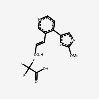 COc1ncc(-c2ccncc2C=CC(=O)O)s1.O=C(O)C(F)(F)F